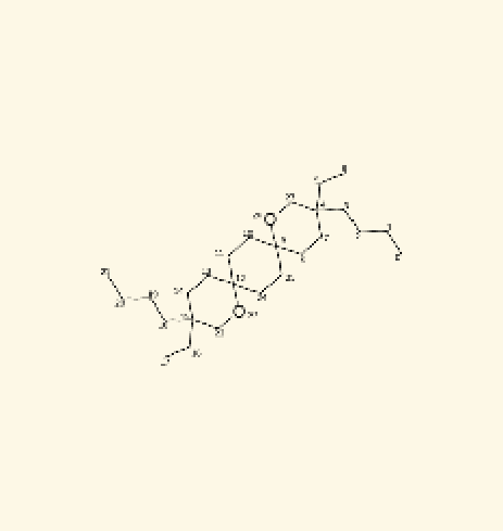 CCCCC1(CC)CCC2(CCC3(CCC(CC)(CCCC)CO3)CC2)OC1